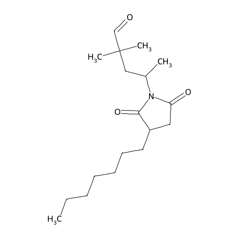 CCCCCCCC1CC(=O)N(C(C)CC(C)(C)C=O)C1=O